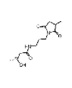 CC1CC(=O)N(CCCNC(=O)C[C@@H](C)O)C1=O